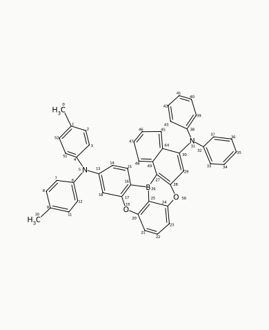 Cc1ccc(N(c2ccc(C)cc2)c2ccc3c(c2)Oc2cccc4c2B3c2c(cc(N(c3ccccc3)c3ccccc3)c3ccccc23)O4)cc1